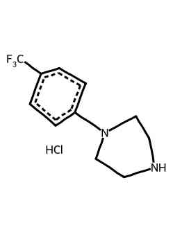 Cl.FC(F)(F)c1ccc(N2CCNCC2)cc1